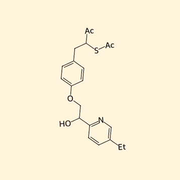 CCc1ccc(C(O)COc2ccc(CC(SC(C)=O)C(C)=O)cc2)nc1